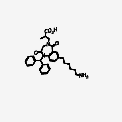 CC(CN1CC(=O)N(C(c2ccccc2)c2ccccc2)c2ccc(CCCCCCN)cc2C1=O)C(=O)O